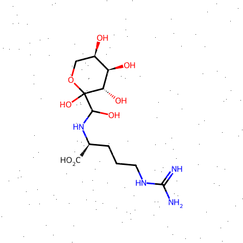 N=C(N)NCCC[C@H](NC(O)C1(O)OC[C@@H](O)[C@@H](O)[C@@H]1O)C(=O)O